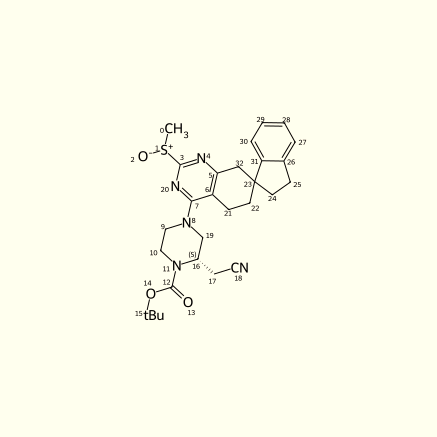 C[S+]([O-])c1nc2c(c(N3CCN(C(=O)OC(C)(C)C)[C@@H](CC#N)C3)n1)CCC1(CCc3ccccc31)C2